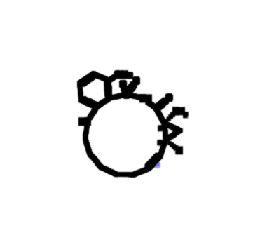 COc1cccc2c1S(=O)(=O)NC(=O)[C@@]1(N)C[C@H]1/C=C\CCCCCN2